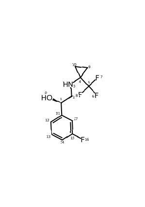 O[C@@H](CNC1(C(F)(F)F)CC1)c1cccc(F)c1